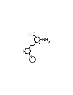 Cc1cc(N)nc(CCc2cncc(N3CCCCC3)c2)c1